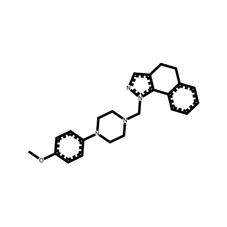 COc1ccc(N2CCN(Cn3ncc4c3-c3ccccc3CC4)CC2)cc1